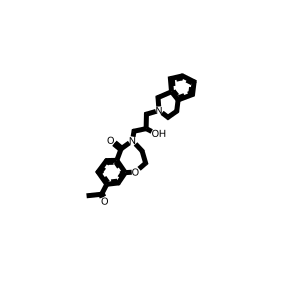 CC(=O)c1ccc2c(c1)OCCN(CC(O)CN1CCc3ccccc3C1)C2=O